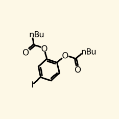 CCCCC(=O)Oc1ccc(I)cc1OC(=O)CCCC